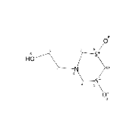 [O-][S+]1CN(CCO)C[S+]([O-])C1